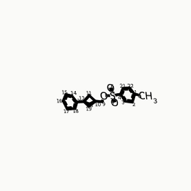 Cc1ccc(S(=O)(=O)OCC23CC(c4ccccc4)(C2)C3)cc1